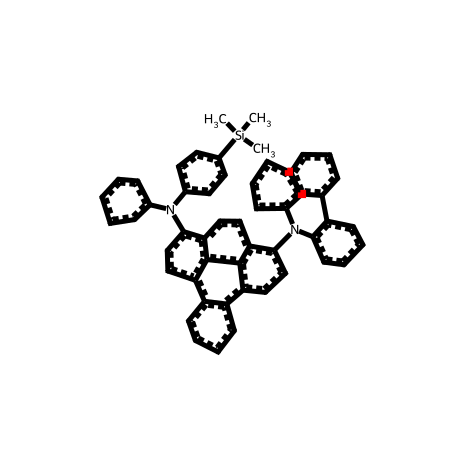 C[Si](C)(C)c1ccc(N(c2ccccc2)c2ccc3c4ccccc4c4ccc(N(c5ccccc5)c5ccccc5-c5ccccc5)c5ccc2c3c54)cc1